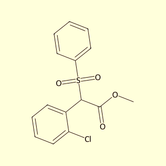 COC(=O)C(c1ccccc1Cl)S(=O)(=O)c1ccccc1